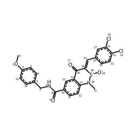 COc1ccc(CNC(=O)c2ccc3c(c2)C(=O)/C(=C/c2ccc(Cl)c(Cl)c2)[S+]([O-])N3C)cc1